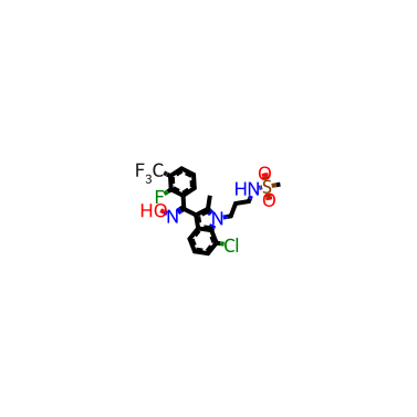 Cc1c(C(=NO)c2cccc(C(F)(F)F)c2F)c2cccc(Cl)c2n1CCCNS(C)(=O)=O